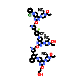 C=CC(=O)N1CCN(c2nc(OC[C@@H]3CC(c4ccc(N5CCc6c(nc(OC[C@@H]7CC(C8=Cc9ccccc9C(N9CCc%10c(nc(OCCCO)nc%10N%10CCN(C(=O)C=C)C(CC#N)C%10)C9)C8C)CN7C)nc6N6CCN(C(O)C=C)C(CC#N)C6)C5)c(C(F)(F)F)c4F)CN3C)nc3c2CCN(c2ccccc2Cl)C3)CC1CC#N